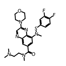 CN(C)CCN(C)C(=O)c1cc(N(C)Sc2ccc(F)c(F)c2)c2nc(N3CCOCC3)cnc2c1